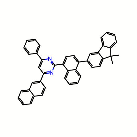 CC1(C)c2ccccc2-c2cc(-c3ccc(-c4nc(-c5ccccc5)cc(-c5ccc6ccccc6c5)n4)c4ccccc34)ccc21